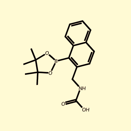 CC1(C)OB(c2c(CNC(=O)O)ccc3ccccc23)OC1(C)C